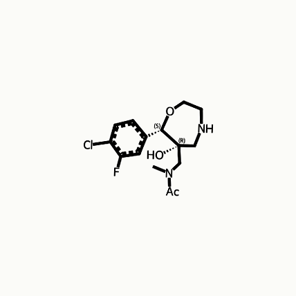 CC(=O)N(C)C[C@]1(O)CNCCO[C@H]1c1ccc(Cl)c(F)c1